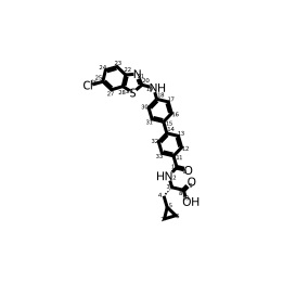 O=C(N[C@@H](CC1CC1)C(=O)O)c1ccc(-c2ccc(Nc3nc4ccc(Cl)cc4s3)cc2)cc1